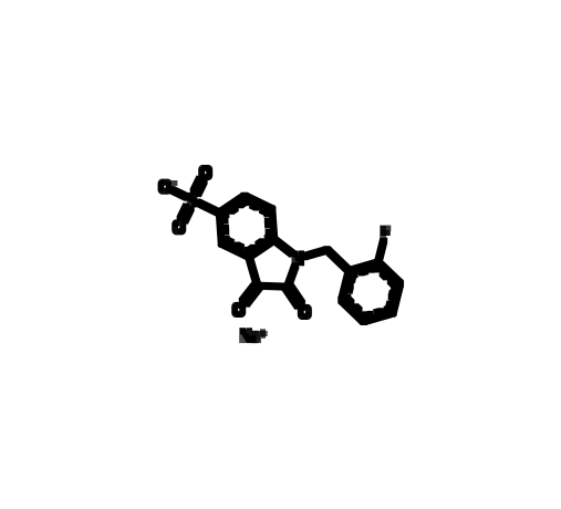 O=C1C(=O)N(Cc2ccccc2F)c2ccc(S(=O)(=O)[O-])cc21.[Na+]